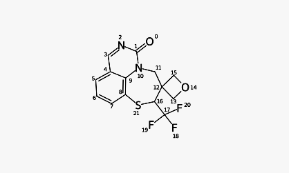 O=c1ncc2cccc3c2n1CC1(COC1)C(C(F)(F)F)S3